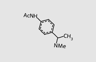 [CH2]NC(C)c1ccc(NC(C)=O)cc1